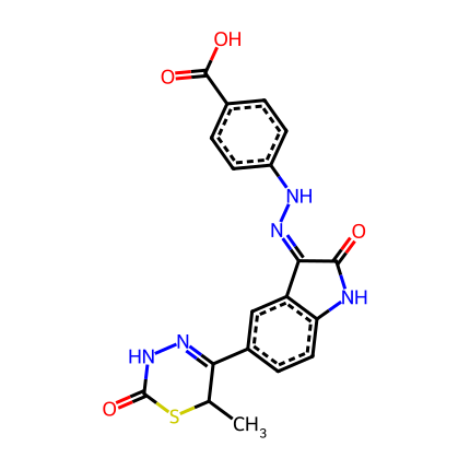 CC1SC(=O)NN=C1c1ccc2c(c1)C(=NNc1ccc(C(=O)O)cc1)C(=O)N2